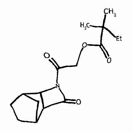 CCC(C)(C)C(=O)OCC(=O)N1C(=O)C2C3CCC(C3)C21